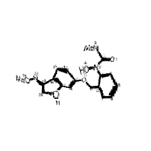 CNC(=O)N(O)c1ccccc1COc1ccc2c(c1)OCC2=NOC